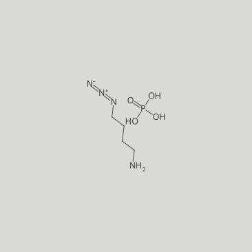 O=P(O)(O)O.[N-]=[N+]=NCCCCN